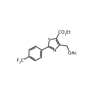 CCOC(=O)c1sc(-c2ccc(C(F)(F)F)cc2)nc1COC(C)=O